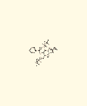 CN(C)C1=NC2C(OC(CO[Si](C)(C)C(C)(C)C)C(OC(=O)c3ccccc3)C2O[Si](C)(C)C(C)(C)C)S1